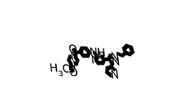 CC(=O)N1CCN(C(=O)c2ccc(Nc3nccc(-c4cn(CCc5ccccc5)nc4-c4cccnc4)n3)cc2)CC1